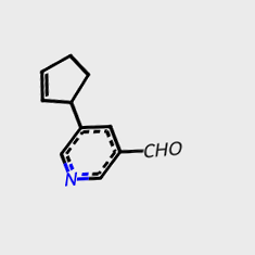 O=Cc1cncc(C2C=CCC2)c1